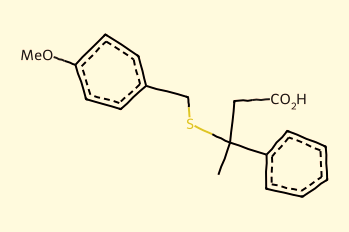 COc1ccc(CSC(C)(CC(=O)O)c2ccccc2)cc1